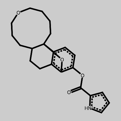 O=C(Oc1ccc2c3c1OC21CCCCOCCCC1CC3)c1ccc[nH]1